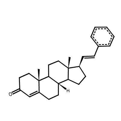 C[C@]12CCC(=O)C=C1CC[C@@H]1C2CC[C@@]2(C)C1CC[C@@H]2/C=C/c1ccccc1